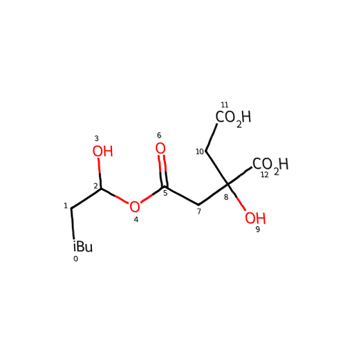 CCC(C)CC(O)OC(=O)CC(O)(CC(=O)O)C(=O)O